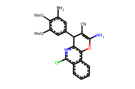 Bc1cc(C2C(C#N)=C(N)Oc3c2nc(Cl)c2ccccc32)cc(OC)c1OC